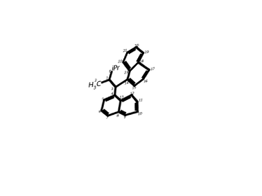 CC(C)C(C)C(c1cccc2ccccc12)c1cccc2ccccc12